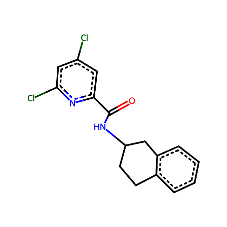 O=C(NC1CCc2ccccc2C1)c1cc(Cl)cc(Cl)n1